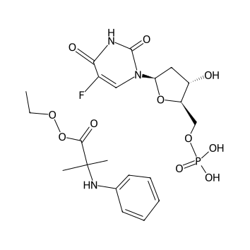 CCOOC(=O)C(C)(C)Nc1ccccc1.O=c1[nH]c(=O)n([C@H]2C[C@H](O)[C@@H](COP(=O)(O)O)O2)cc1F